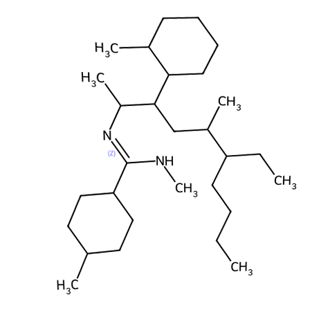 CCCCC(CC)C(C)CC(C(C)/N=C(\NC)C1CCC(C)CC1)C1CCCCC1C